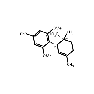 CCCc1cc(OC)c([C@H]2C=C(C)CC[C@@]2(C)C(=O)O)c(OC)c1